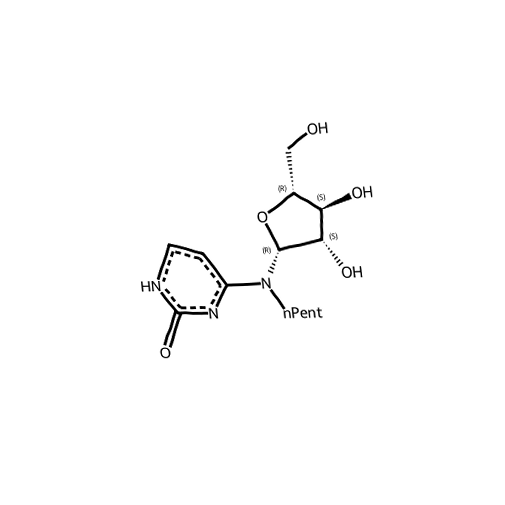 CCCCCN(c1cc[nH]c(=O)n1)[C@@H]1O[C@H](CO)[C@@H](O)[C@@H]1O